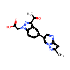 CC(=O)c1nn(CC(=O)O)c2ccc(-c3cnc4cc(C)nn4c3)cc12